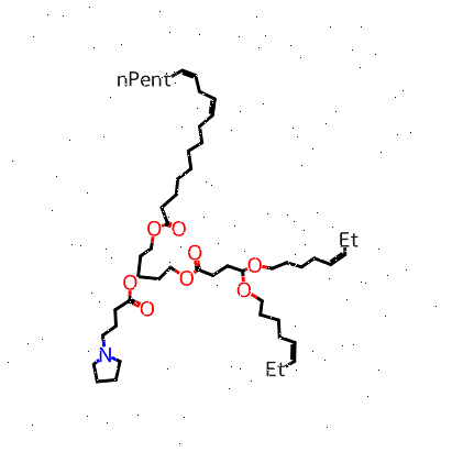 CC/C=C\CCCCOC(CCC(=O)OCCC(CCOC(=O)CCCCCCC/C=C\C/C=C\CCCCC)OC(=O)CCCN1CCCC1)OCCCC/C=C\CC